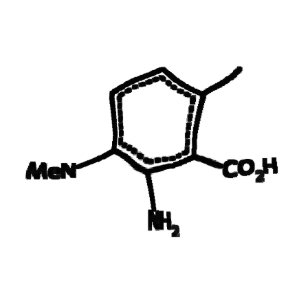 CNc1ccc(C)c(C(=O)O)c1N